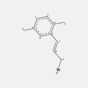 Cc1ccc(C)c(/C=C/CBr)c1